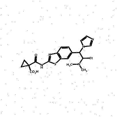 CCC(C(c1ccc2nc(NC(=O)C3(C(=O)O)CC3)sc2c1)n1ccnc1)N(C)C